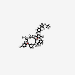 CC1C(=O)NC(CO)C(=O)NC2(Cc3ccc(Cl)cc3)CCCN(C2)C(=O)C([C@H]2CCc3ccccc32)CC(=O)N1Cc1ccc(Cl)cc1Oc1ccc(-c2cnc(CN3CCCC3)n2C)cc1.Cl